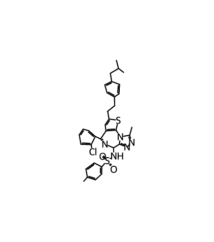 Cc1ccc(S(=O)(=O)NC2N=C(c3ccccc3Cl)c3cc(CCc4ccc(CC(C)C)cc4)sc3-n3c(C)nnc32)cc1